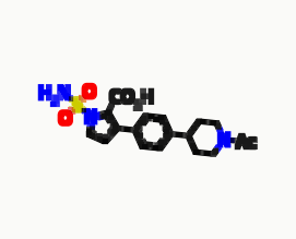 CC(=O)N1CCC(c2ccc(-c3ccn(S(N)(=O)=O)c3C(=O)O)cc2)CC1